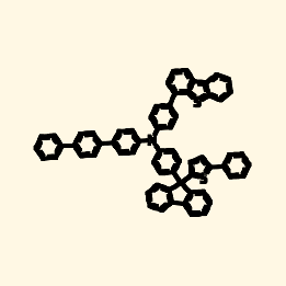 c1ccc(-c2ccc(-c3ccc(N(c4ccc(-c5cccc6c5sc5ccccc56)cc4)c4ccc(C5(c6ccc(-c7ccccc7)s6)c6ccccc6-c6ccccc65)cc4)cc3)cc2)cc1